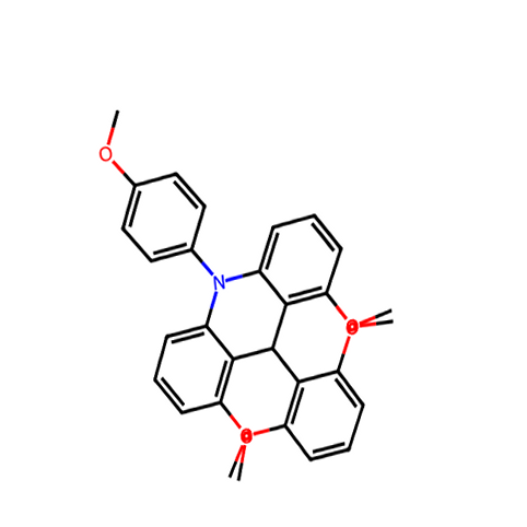 COc1ccc(N2c3cccc(OC)c3C(c3c(OC)cccc3OC)c3c(OC)cccc32)cc1